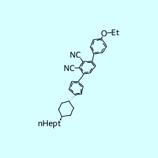 CCCCCCC[C@H]1CC[C@H](c2ccc(-c3ccc(-c4ccc(OCC)cc4)c(C#N)c3C#N)cc2)CC1